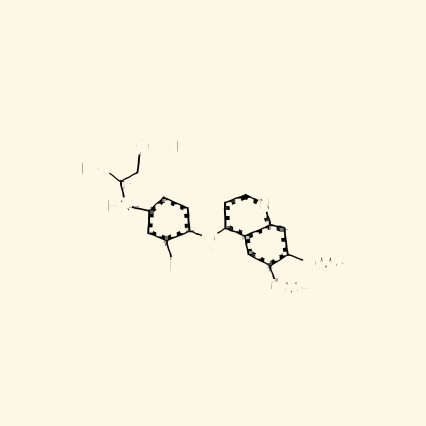 COc1cc2nccc(Oc3ccc(NC(CC(=O)O)C(F)(F)F)cc3F)c2cc1OC